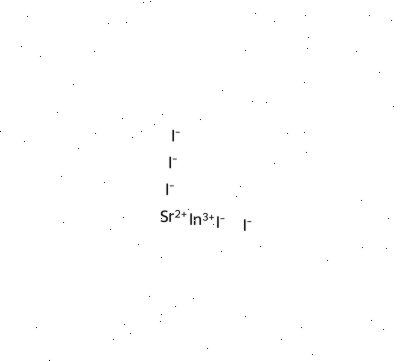 [I-].[I-].[I-].[I-].[I-].[In+3].[Sr+2]